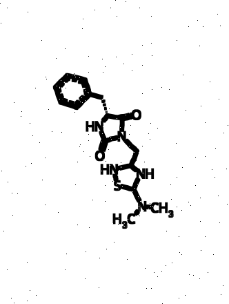 CN(C)C1NC(CN2C(=O)N[C@H](Cc3ccccc3)C2=O)NS1